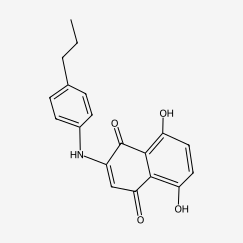 CCCc1ccc(NC2=CC(=O)c3c(O)ccc(O)c3C2=O)cc1